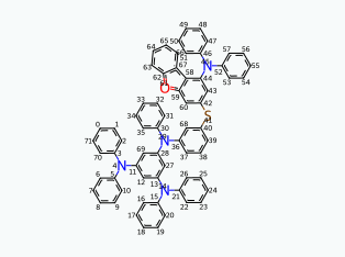 c1ccc(N(c2ccccc2)c2cc(N(c3ccccc3)c3ccccc3)cc(N(c3ccccc3)c3cccc(Sc4cc(N(c5ccccc5)c5ccccc5)c5c(c4)oc4ccccc45)c3)c2)cc1